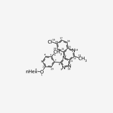 CCCCCCOc1ccc(C)c(-c2nnc3c(C)nc4ccc(Cl)cc4n23)c1